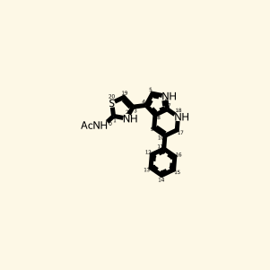 CC(=O)NC1NC(c2c[nH]c3c2C=C(c2ccccc2)CN3)=CS1